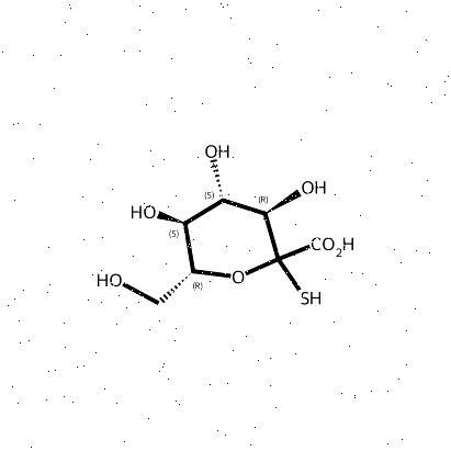 O=C(O)C1(S)O[C@H](CO)[C@@H](O)[C@H](O)[C@H]1O